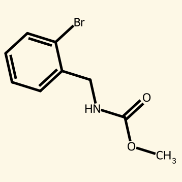 COC(=O)NCc1ccccc1Br